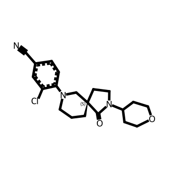 N#Cc1ccc(N2CCC[C@]3(CCN(C4CCOCC4)C3=O)C2)c(Cl)c1